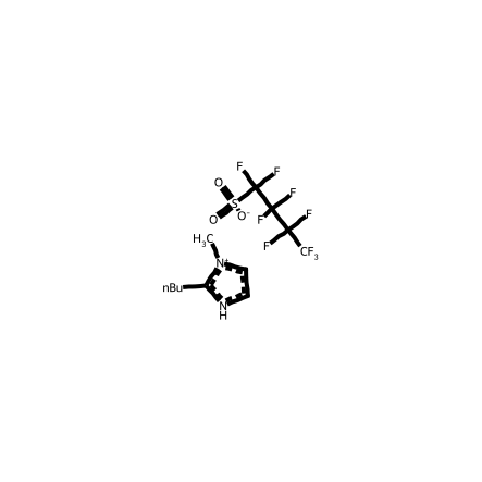 CCCCc1[nH]cc[n+]1C.O=S(=O)([O-])C(F)(F)C(F)(F)C(F)(F)C(F)(F)F